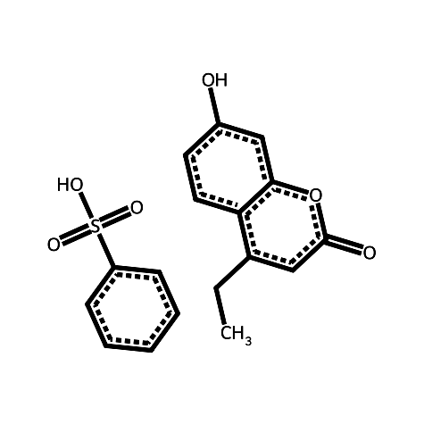 CCc1cc(=O)oc2cc(O)ccc12.O=S(=O)(O)c1ccccc1